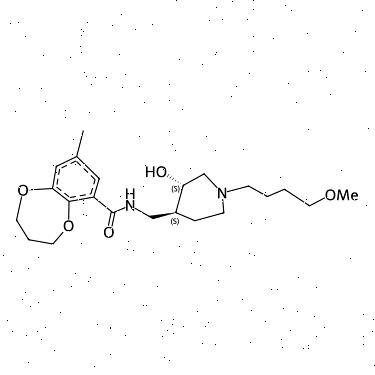 COCCCCN1CC[C@@H](CNC(=O)c2cc(C)cc3c2OCCCO3)[C@H](O)C1